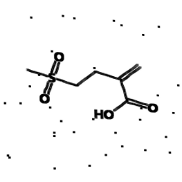 C=C(CCS(C)(=O)=O)C(=O)O